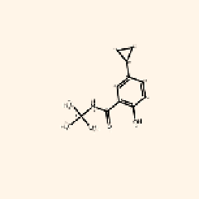 CC(C)(C)NC(=O)c1cc(C2CC2)ccc1O